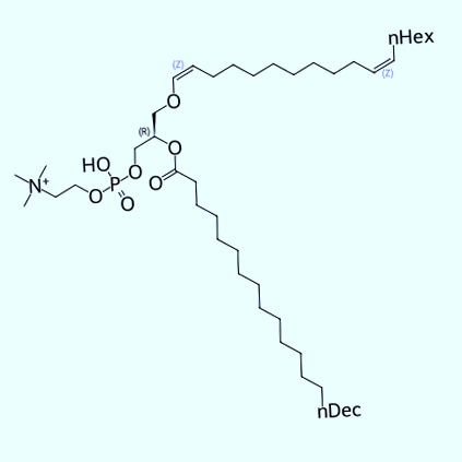 CCCCCC/C=C\CCCCCCCC/C=C\OC[C@H](COP(=O)(O)OCC[N+](C)(C)C)OC(=O)CCCCCCCCCCCCCCCCCCCCCCC